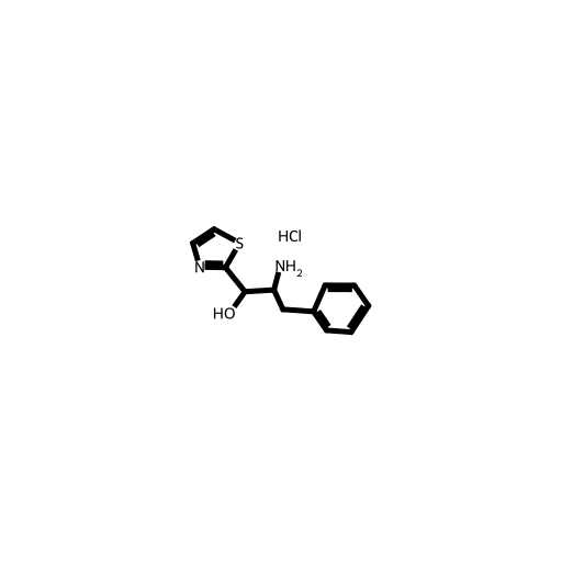 Cl.NC(Cc1ccccc1)C(O)c1nccs1